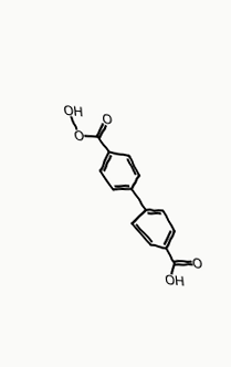 O=C(O)c1ccc(-c2ccc(C(=O)OO)cc2)cc1